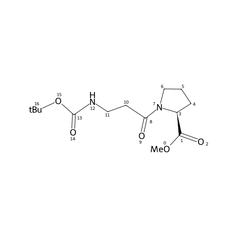 COC(=O)[C@@H]1CCCN1C(=O)CCNC(=O)OC(C)(C)C